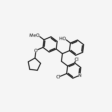 COc1ccc(C(Cc2c(Cl)cncc2Cl)c2ccccc2O)cc1OC1CCCC1